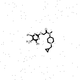 CC(C)c1nc(OCC(=O)N(C)C2CCN(CC3CC3)CC2)nc(C(C)C)c1N